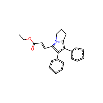 CCOC(=O)C=Cc1c(-c2ccccc2)c(-c2ccccc2)c2n1CCC2